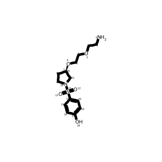 NCCOCCO[C@@H]1CCN(S(=O)(=O)c2ccc(O)cc2)C1